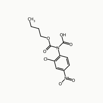 CCCCOC(=O)N(C(=O)O)c1ccc([N+](=O)[O-])cc1Cl